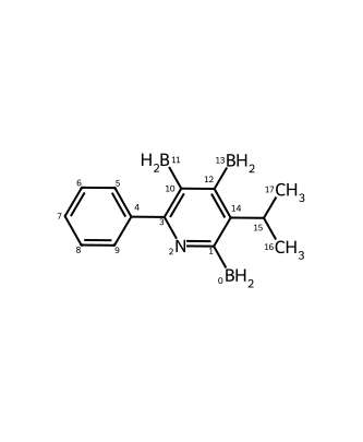 Bc1nc(-c2ccccc2)c(B)c(B)c1C(C)C